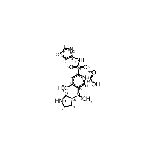 Cc1cc(S(=O)(=O)Nc2cscn2)ncc1N(C)[C@H]1CCNC1.O=CO